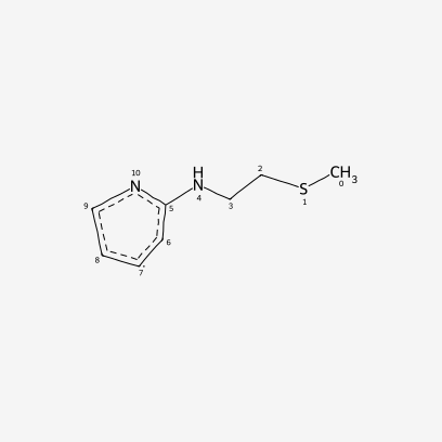 CSCCNc1c[c]ccn1